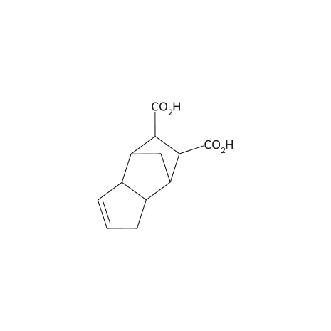 O=C(O)C1C2CC(C3CC=CC32)C1C(=O)O